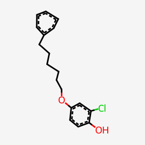 Oc1ccc(OCCCCCCc2ccccc2)cc1Cl